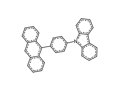 c1ccc2c(-c3ccc(-n4c5ccccc5c5ccccc54)cc3)c3ccccc3cc2c1